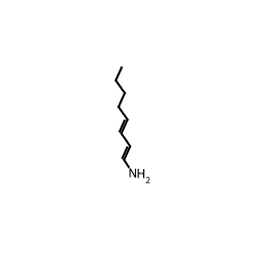 CCCC/C=C/C=C/N